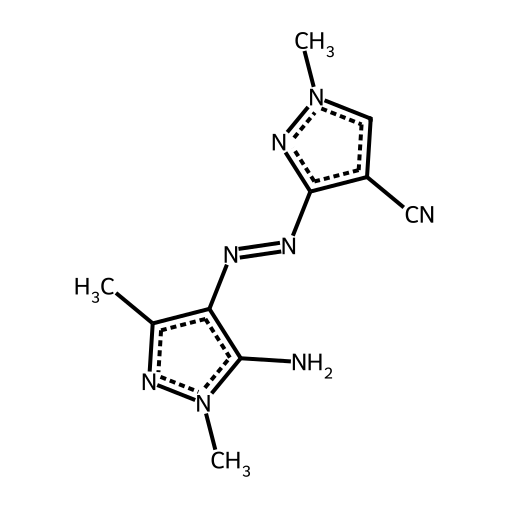 Cc1nn(C)c(N)c1N=Nc1nn(C)cc1C#N